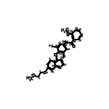 COCCOc1ccc2c(Oc3c(F)cc(NC(=O)c4cnccc4OC)cc3I)ccnc2c1